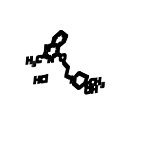 Cc1nc(OCCCN2CCC(C)(O)CC2)c2ccccc2n1.Cl